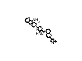 Cn1cc(-c2ccc3c(n2)CCCN3c2n[nH]c3nc(N4CCC5(CC4)Cc4cccnc4C5N)cnc23)cn1